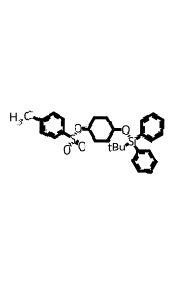 Cc1ccc(S(=O)(=O)OC2CCC(O[Si](c3ccccc3)(c3ccccc3)C(C)(C)C)CC2)cc1